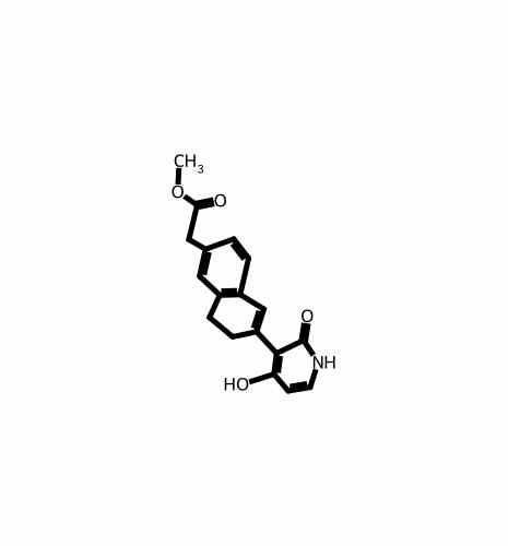 COC(=O)Cc1ccc2c(c1)CCC(c1c(O)cc[nH]c1=O)=C2